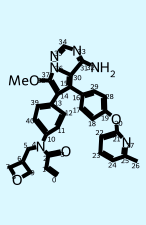 C=CC(=O)N(CC1COC1)c1ccc(-c2c(-c3ccc(Oc4cccc(C)n4)cc3)c3c(N)ncnn3c2OC)cc1